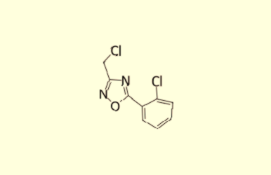 ClCc1noc(-c2ccccc2Cl)n1